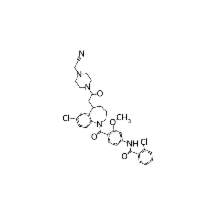 COc1cc(NC(=O)c2ccccc2Cl)ccc1C(=O)N1CCCC(CC(=O)N2CCN(CC#N)CC2)c2cc(Cl)ccc21